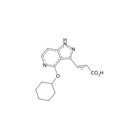 O=C(O)/C=C/c1n[nH]c2ccnc(OC3CCCCC3)c12